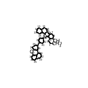 C/C=C\c1c(C)ccc2c3ccc4ccccc4c3n(-c3ccc(-c4ccc5c(c4)-c4cccc6cccc(c46)O5)cc3)c12